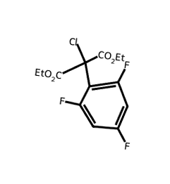 CCOC(=O)C(Cl)(C(=O)OCC)c1c(F)cc(F)cc1F